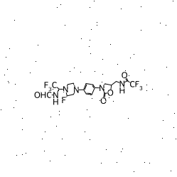 O=CNC(N1CCN(c2ccc(N3CC(CNC(=O)C(F)(F)F)OC3=O)cc2)C[C@@H]1F)C(F)(F)F